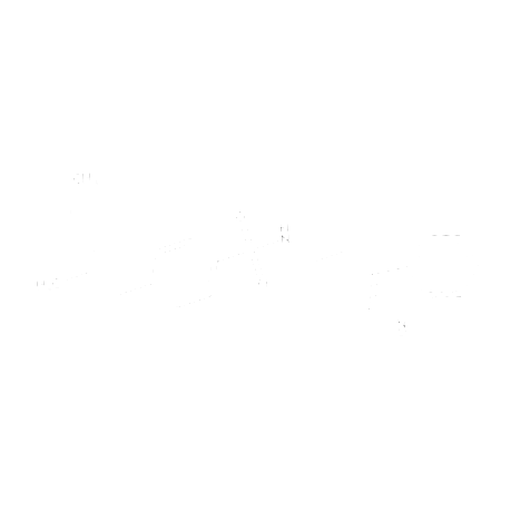 CCCC(C)Cc1ccc(S(=O)(=O)NCCc2c[nH]c3ccccc23)cc1